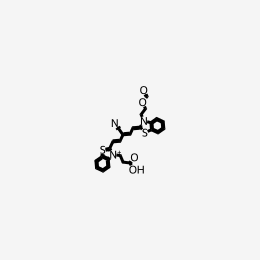 N#CC(=C\C=C1/Sc2ccccc2N1CCOC=O)/C=C/c1sc2ccccc2[n+]1CCC(=O)O